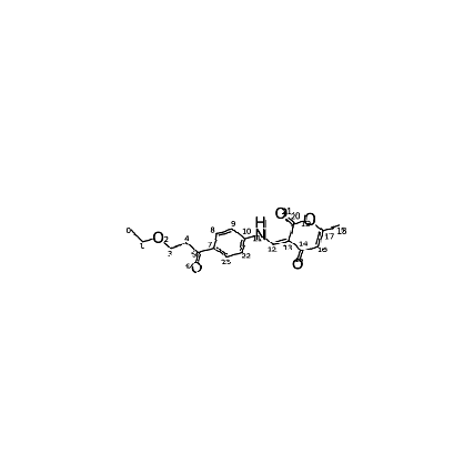 CCOCCC(=O)c1ccc(NC=C2C(=O)C=C(C)OC2=O)cc1